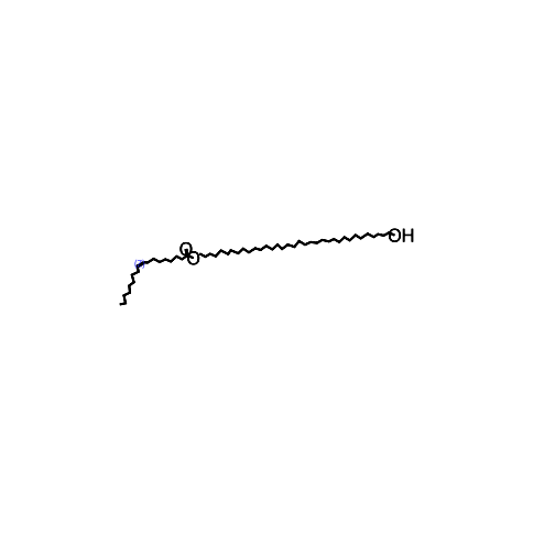 CCCCCCCC/C=C\CCCCCCCC(=O)OCCCCCCCCCCCCCCCCCCCCCCCCCCCCCCCCCCCO